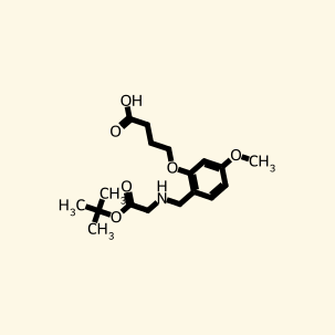 COc1ccc(CNCC(=O)OC(C)(C)C)c(OCCCC(=O)O)c1